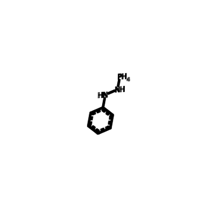 [PH4]NNc1ccccc1